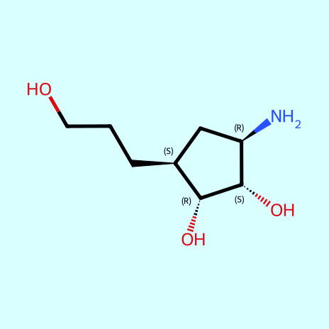 N[C@@H]1C[C@H](CCCO)[C@@H](O)[C@H]1O